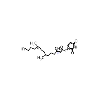 C/C(=C\C(=O)On1ccc(=O)[nH]c1=O)CCC[C@H](C)CCC[C@H](C)CCCC(C)C